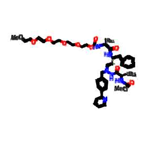 COCCOCCOCCOCCOCCOC(=O)N[C@@H](C(=O)N[C@@H]([CH]CN(Cc1ccc(-c2ccccn2)cc1)NC(=O)[C@H](NC(=O)OC)C(C)(C)C)Cc1ccccc1)C(C)(C)C